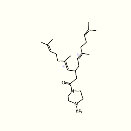 CCCN1CCN(C(=O)CC(/C=C(\C)CCC=C(C)C)C/C=C(\C)CCC=C(C)C)CC1